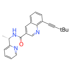 C[C@H](NC(=O)c1cnc2c(C#CC(C)(C)C)cccc2c1)c1ccccn1